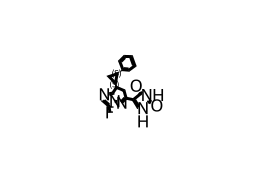 O=c1[nH]cc(C2=Nn3c(F)cnc3C([C@H]3C[C@@H]3c3ccccc3)C2)c(=O)[nH]1